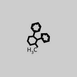 CCC1CCCC(c2ccccc2)C1c1ccccc1